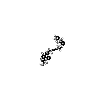 CNC(=O)c1cnc2cc(OC)c(-c3ccc(C(=O)NCCCCNC(=O)[C@H](C)Nc4cccc5c4C(=O)N(C4CCC(=O)NC4=O)C5=O)nc3)cc2c1Nc1ccccc1